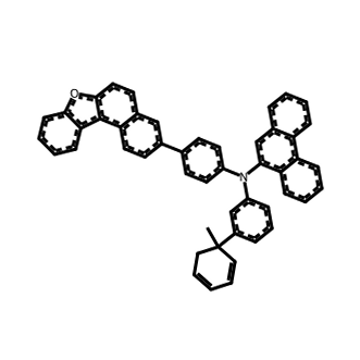 CC1(c2cccc(N(c3ccc(-c4ccc5c(ccc6oc7ccccc7c65)c4)cc3)c3cc4ccccc4c4ccccc34)c2)C=CC=CC1